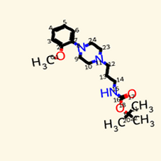 COc1ccccc1N1CCN(CCCNC(=O)OC(C)(C)C)CC1